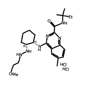 CCC(C)(C)NC(=O)c1nc(N[C@H]2CCCC[C@H]2NNCCOC)c2cc(C)ccc2n1.Cl.Cl